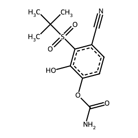 CC(C)(C)S(=O)(=O)c1c(C#N)ccc(OC(N)=O)c1O